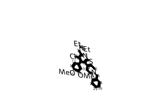 CCN(CC)Cc1nc2sc3c(c2c(-c2ccc(OC)c(OC)c2)c1Cl)CCN(Cc1ccccc1)C3